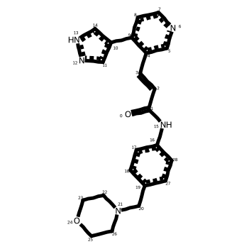 O=C(/C=C/c1cnccc1-c1cn[nH]c1)Nc1ccc(CN2CCOCC2)cc1